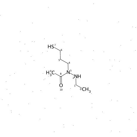 CCNN(CCCS)C(C)=O